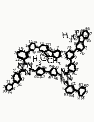 CC1(C)c2ccccc2-c2ccc(-c3cccc(-c4cccc(-c5nc(-c6ccc(-c7ccccc7)cc6)nc(-c6ccc(-c7ccc(-c8nc(-c9cccc(-c%10ccccc%10)c9)nc(-c9cccc(-c%10cccc(-c%11ccc%12c(c%11)C(C)(C)c%11ccccc%11-%12)c%10)c9)n8)cc7)cc6)n5)c4)c3)cc21